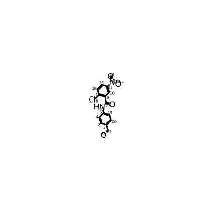 O=Cc1ccc(NC(=O)c2cc([N+](=O)[O-])ccc2Cl)cc1